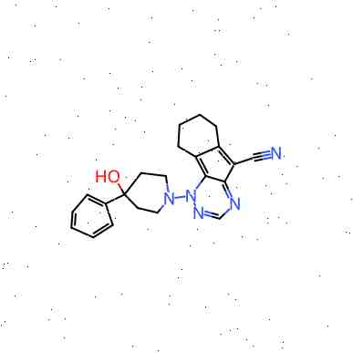 N#Cc1c2ncnn(N3CCC(O)(c4ccccc4)CC3)c-2c2c1CCCC2